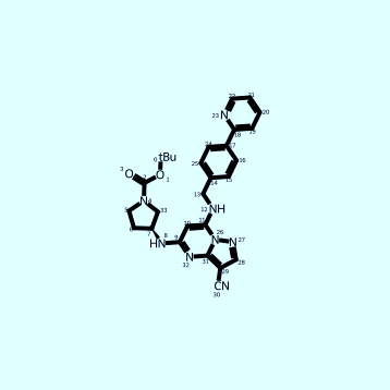 CC(C)(C)OC(=O)N1CC[C@H](Nc2cc(NCc3ccc(-c4ccccn4)cc3)n3ncc(C#N)c3n2)C1